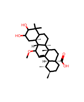 COC1C=C2[C@@H]3[C@@H](C)[C@H](C)CC[C@]3(C(=O)O)CC[C@@]2(C)[C@]2(C)CCC3C(C)(C)C(O)C(O)C[C@]3(C)[C@@H]12